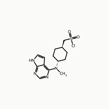 CN(c1ncnc2[nH]ccc12)[C@H]1CC[C@H](CS(=O)(=O)Cl)CC1